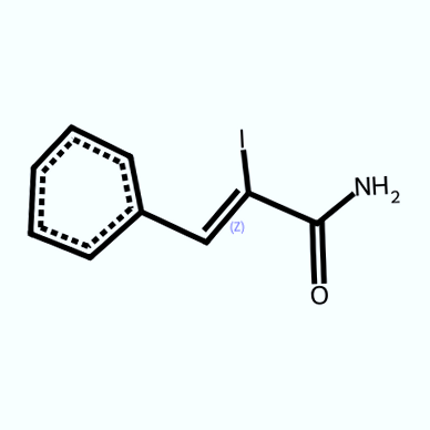 NC(=O)/C(I)=C/c1ccccc1